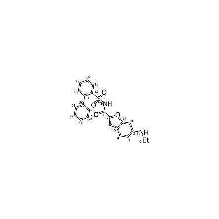 CCNc1ccc2cc(C(=O)NS(=O)(=O)c3ccccc3-c3ccccc3)oc2c1